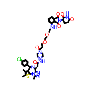 Cc1sc2c(c1C)C(c1ccc(Cl)cc1)=N[C@@H](CC(=O)NN1CCN(C(=O)CCOCCOCCNc3cccc4c3C(=O)N(C3CCC(=O)NC3=O)C4=O)CC1)c1nnc(C)n1-2